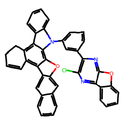 Clc1nc2c(nc1-c1cccc(-n3c4ccccc4c4c5c(c6c7cc8ccccc8cc7oc6c43)C=CCC5)c1)oc1ccccc12